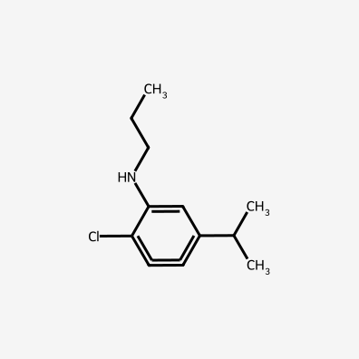 CCCNC1=CC(C(C)C)=C=C=C1Cl